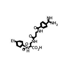 CCc1ccc(S(=O)(=O)N[C@@H](CNC(=O)CCNC(=O)c2ccc(C(=N)N)cc2)C(=O)O)cc1